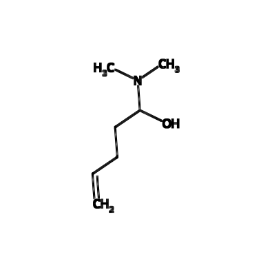 C=CCCC(O)N(C)C